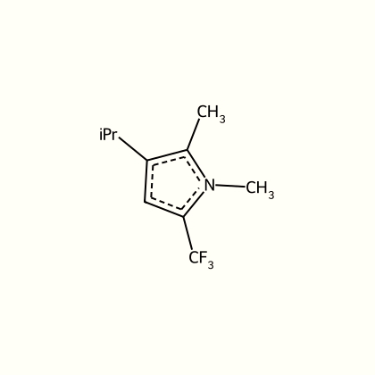 Cc1c(C(C)C)cc(C(F)(F)F)n1C